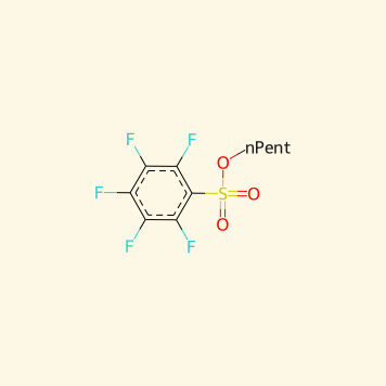 CCCCCOS(=O)(=O)c1c(F)c(F)c(F)c(F)c1F